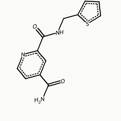 NC(=O)c1ccnc(C(=O)NCc2cccs2)c1